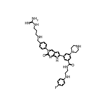 N=C(N)NCCCNCc1ccc(-n2cc3cc(-c4cc(C(=O)NCCNc5ccc(F)cc5)cc(N5CCNCC5)c4)[nH]c3nc2=O)cc1